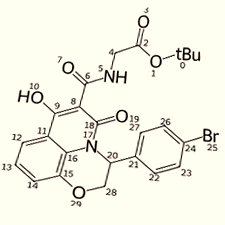 CC(C)(C)OC(=O)CNC(=O)c1c(O)c2cccc3c2n(c1=O)C(c1ccc(Br)cc1)CO3